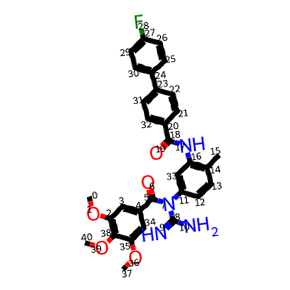 COc1cc(C(=O)N(C(=N)N)c2ccc(C)c(NC(=O)c3ccc(-c4ccc(F)cc4)cc3)c2)cc(OC)c1OC